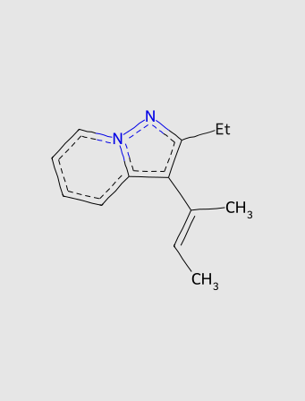 CC=C(C)c1c(CC)nn2ccccc12